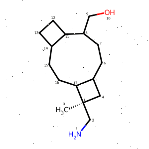 C[C@@]1(CN)CC2CCC(CO)C3CCC3CCC21